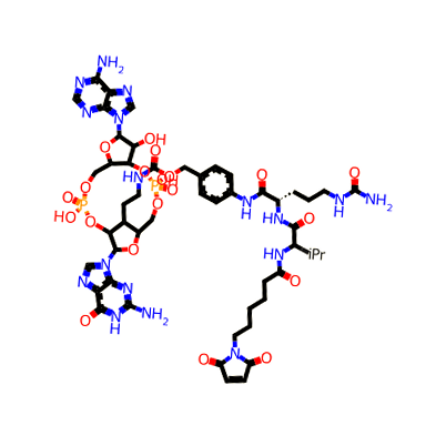 CC(C)C(NC(=O)CCCCCN1C(=O)C=CC1=O)C(=O)N[C@@H](CCCNC(N)=O)C(=O)Nc1ccc(COC(=O)NCCC2C3COP(=O)(O)OC4C(COP(=O)(O)OC2C(n2cnc5c(=O)[nH]c(N)nc52)O3)OC(n2cnc3c(N)ncnc32)C4O)cc1